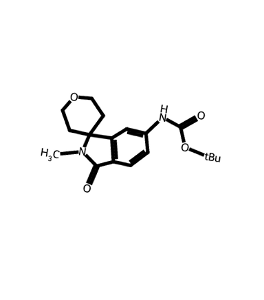 CN1C(=O)c2ccc(NC(=O)OC(C)(C)C)cc2C12CCOCC2